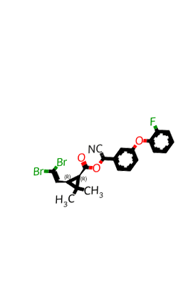 CC1(C)[C@H](C(=O)OC(C#N)c2cccc(Oc3ccccc3F)c2)[C@@H]1C=C(Br)Br